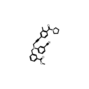 COC(=O)c1cccc(CN(CC#Cc2ccc(C(=O)N3CCCC3)c(C)c2)c2cccc(C#N)c2)c1